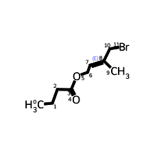 CCCC(=O)OC/C=C(\C)CBr